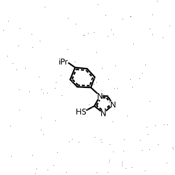 CC(C)c1ccc(-n2cnnc2S)cc1